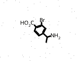 CC(N)c1ccc(C(=O)O)c(Br)c1